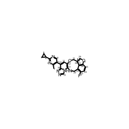 Cc1nc(C2CC2)ncc1-c1cc2c(n3cnnc13)NCc1c(F)ccc3c1[C@@H](CO3)CO2